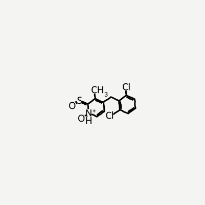 CC1=C(Cc2c(Cl)cccc2Cl)C=C[NH+]([O-])C1=S=O